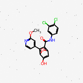 COc1cc(-c2c(C(=O)Nc3ccc(Cl)c(Cl)c3)c3cc(O)c2o3)ccn1